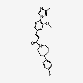 COc1cc(C=CC(=O)N2CCCC(c3ccc(F)cc3)CC2)ccc1-n1cnc(C)c1